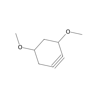 COC1C#CCC(OC)C1